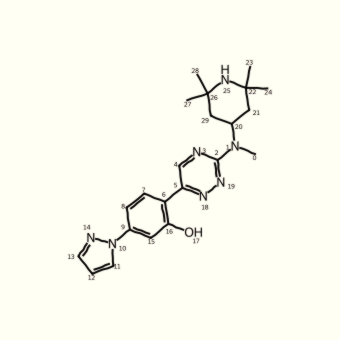 CN(c1ncc(-c2ccc(-n3cccn3)cc2O)nn1)C1CC(C)(C)NC(C)(C)C1